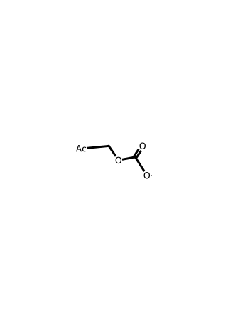 CC(=O)COC([O])=O